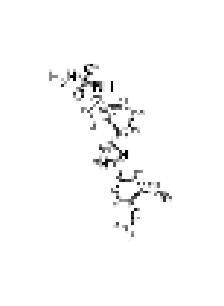 CC(C)Oc1ccc(-c2nsc(-c3cccc4c3CCC4NS(N)(=O)=O)n2)cc1C#N